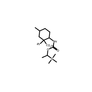 CC1CCC(NC(=O)OC(C)[Si](C)(C)C)C(C(=O)O)(C(C)C)C1